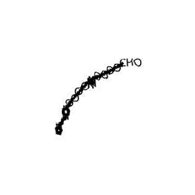 O=CCCOCCOCCOCCOCCn1cc(COCCOCCOCCOCCN2CCN(CCCCN3CCCC3)CC2)nn1